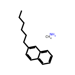 C.CCCCCCc1ccc2ccccc2c1.N